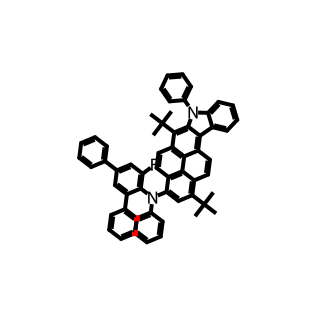 CC(C)(C)c1cc(N(c2ccccc2)c2c(F)cc(-c3ccccc3)cc2-c2ccccc2)c2ccc3c(C(C)(C)C)c4c(c5ccc1c2c35)c1ccccc1n4-c1ccccc1